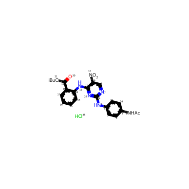 CC(=O)Nc1ccc(Nc2ncc([N+](=O)[O-])c(Nc3ccccc3C(=O)OCC(C)C)n2)cc1.Cl